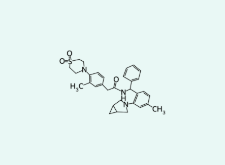 Cc1ccc(C(NC(=O)Cc2ccc(N3CCS(=O)(=O)CC3)c(C)c2)c2ccccc2)c(N2CC3CC3C2)c1